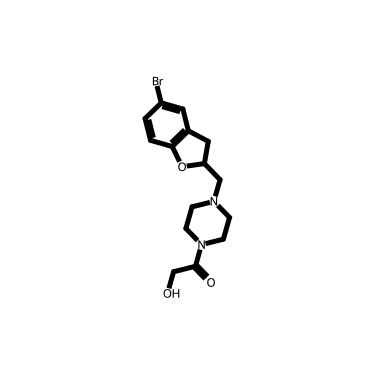 O=C(CO)N1CCN(CC2Cc3cc(Br)ccc3O2)CC1